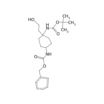 CC(C)(C)OC(=O)NC1(CCO)CCC(NC(=O)OCc2ccccc2)CC1